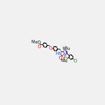 CCCCn1cc(-c2ccc(Cl)cc2Cl)nc1[C@H](Cc1ccc(OCc2ccc(C(=O)OC)cc2)cc1)NC(=O)OC(C)(C)C